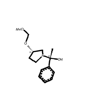 COCO[C@H]1CCN([C@](C)(O)c2ccccc2)C1